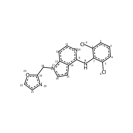 Clc1cccc(Cl)c1Nc1nccc2c1ccn2Cc1ncco1